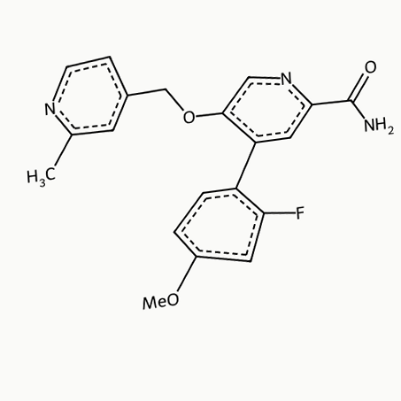 COc1ccc(-c2cc(C(N)=O)ncc2OCc2ccnc(C)c2)c(F)c1